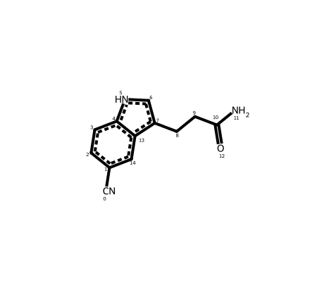 N#Cc1ccc2[nH]cc(CCC(N)=O)c2c1